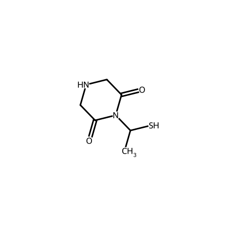 CC(S)N1C(=O)CNCC1=O